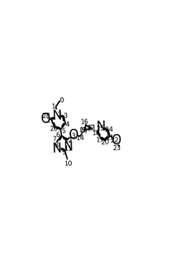 CCn1ccc(-c2cnc(C)nc2OC[C@H]2C[C@@H]2c2ccc(OC)cn2)cc1=O